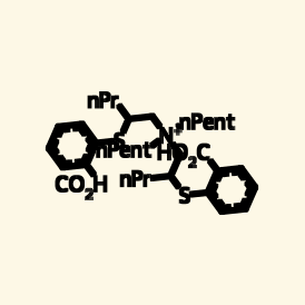 CCCCC[N+](CCCCC)(CC(CCC)Sc1ccccc1C(=O)O)CC(CCC)Sc1ccccc1C(=O)O